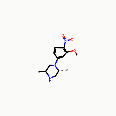 COc1cc(N2C[C@H](C)NC[C@H]2C)ccc1[N+](=O)[O-]